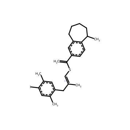 C=C(S/C=C(\C)Cc1cc(C)c(I)cc1C)c1ccc2c(c1)CCCCC2C